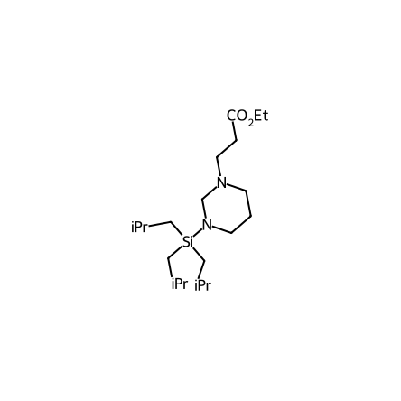 CCOC(=O)CCN1CCCN([Si](CC(C)C)(CC(C)C)CC(C)C)C1